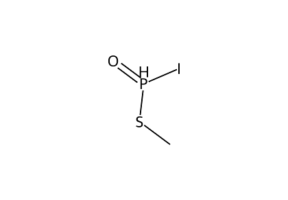 CS[PH](=O)I